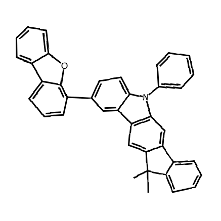 CC1(C)c2ccccc2-c2cc3c(cc21)c1cc(-c2cccc4c2oc2ccccc24)ccc1n3-c1ccccc1